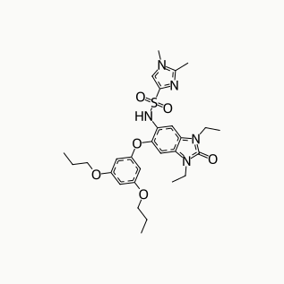 CCCOc1cc(OCCC)cc(Oc2cc3c(cc2NS(=O)(=O)c2cn(C)c(C)n2)n(CC)c(=O)n3CC)c1